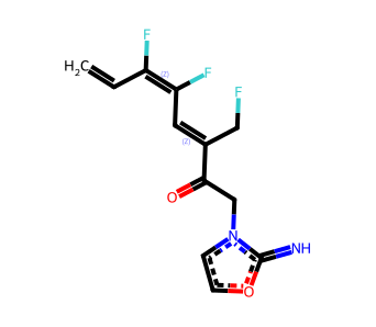 C=C/C(F)=C(F)\C=C(/CF)C(=O)Cn1ccoc1=N